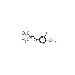 Cc1ccc(OC[C@H](C)C(=O)O)cc1F